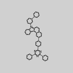 c1ccc(-c2cccc(-n3c4ccccc4c4c5cc(-c6ccc(-c7nc(-c8ccccc8)nc(-c8ccccc8)n7)cc6)ccc5ccc43)c2)cc1